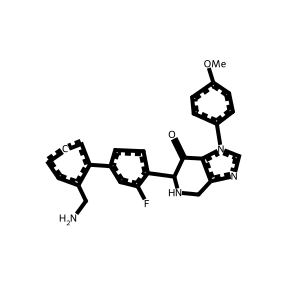 COc1ccc(-n2cnc3c2C(=O)C(c2ccc(-c4ccccc4CN)cc2F)NC3)cc1